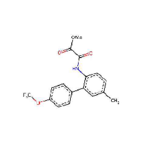 COC(=O)C(=O)Nc1ccc(C)cc1-c1ccc(OC(F)(F)F)cc1